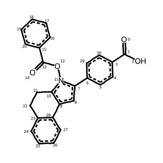 O=C(O)c1ccc(-c2cc3c(n2OC(=O)c2ccccc2)CCc2ccccc2-3)cc1